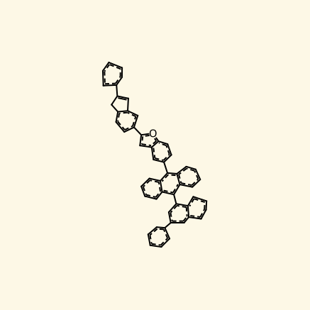 C1=C(c2ccccc2)Cc2ccc(-c3cc4cc(-c5c6ccccc6c(-c6cc(-c7ccccc7)cc7ccccc67)c6ccccc56)ccc4o3)cc21